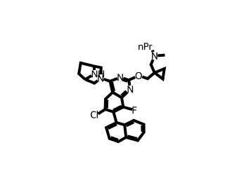 CCCN(C)CC1(COc2nc(N3CC4CCC(C3)N4)c3cc(Cl)c(-c4cccc5ccccc45)c(F)c3n2)CC1